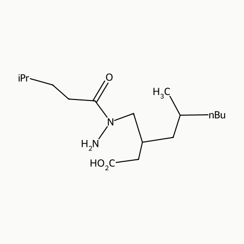 CCCCC(C)CC(CC(=O)O)CN(N)C(=O)CCC(C)C